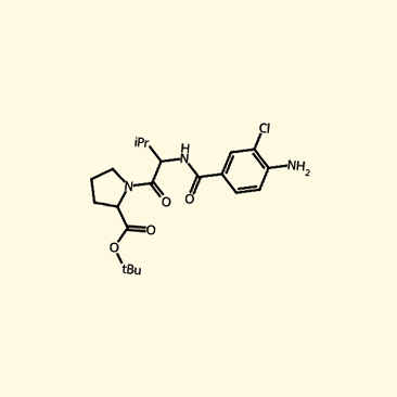 CC(C)C(NC(=O)c1ccc(N)c(Cl)c1)C(=O)N1CCCC1C(=O)OC(C)(C)C